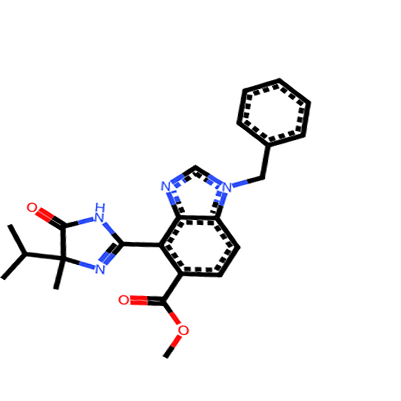 COC(=O)c1ccc2c(ncn2Cc2ccccc2)c1C1=NC(C)(C(C)C)C(=O)N1